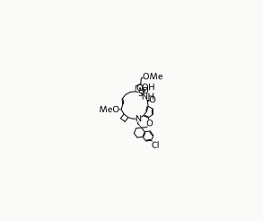 COC[C@H](O)C[C@@H]1CC/C=C/[C@H](OC)C2CCC2CN2C[C@@]3(CCCc4cc(Cl)ccc43)COc3ccc(cc32)C(=O)NS1(=O)=O